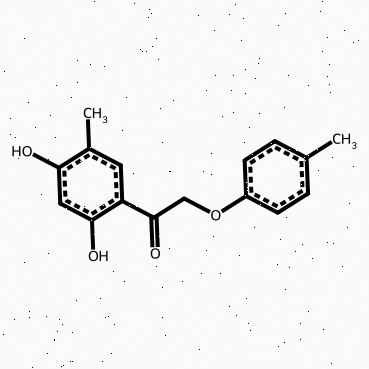 Cc1ccc(OCC(=O)c2cc(C)c(O)cc2O)cc1